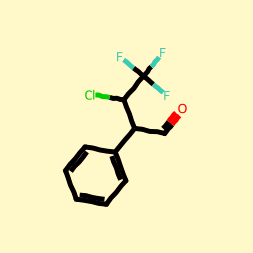 O=CC(c1ccccc1)C(Cl)C(F)(F)F